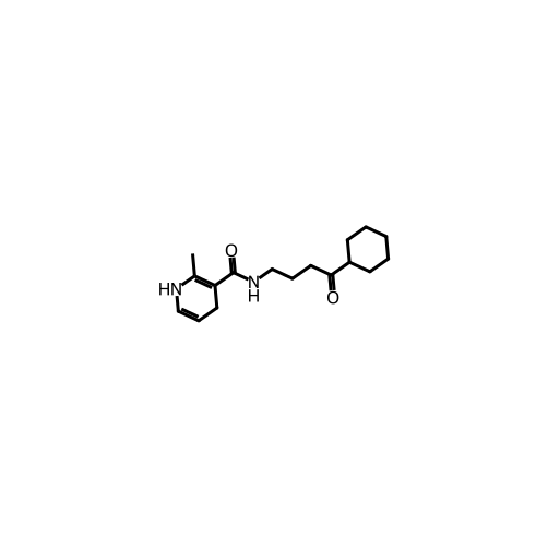 CC1=C(C(=O)NCCCC(=O)C2CCCCC2)CC=CN1